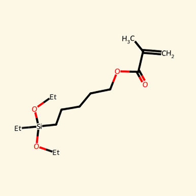 C=C(C)C(=O)OCCCCC[Si](CC)(OCC)OCC